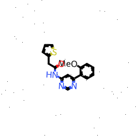 COc1ccccc1-c1cc(NC(=O)Cc2cccs2)ncn1